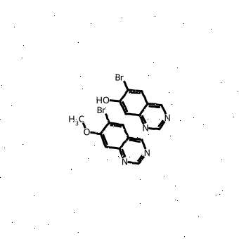 COc1cc2ncncc2cc1Br.Oc1cc2ncncc2cc1Br